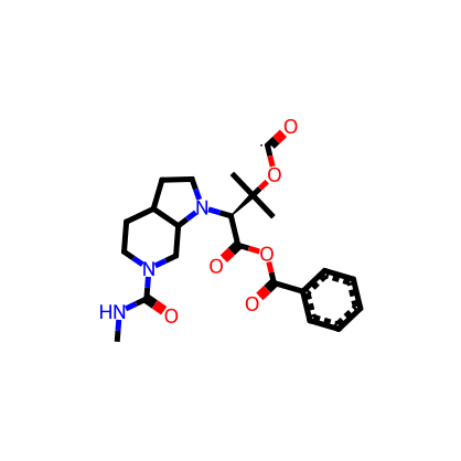 CNC(=O)N1CCC2CCN([C@H](C(=O)OC(=O)c3ccccc3)C(C)(C)O[C]=O)C2C1